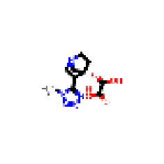 Cn1nnnc1C1CN2CCC1C2.O=C(O)C(=O)O